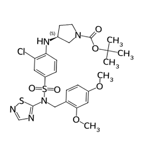 COc1ccc(CN(c2ncns2)S(=O)(=O)c2ccc(N[C@H]3CCN(C(=O)OC(C)(C)C)C3)c(Cl)c2)c(OC)c1